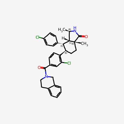 C[C@H]1NC(=O)[C@]2(C)CC[C@@H](c3ccc(C(=O)N4CCc5ccccc5C4)cc3Cl)[C@H](c3ccc(Cl)cc3)[C@H]12